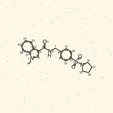 Cn1cc(C(=O)NCc2ccc(S(=O)(=O)N3CCCC3)cc2)c2ccccc21